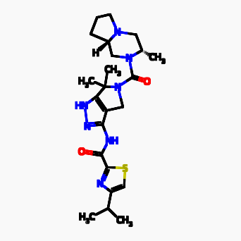 CC(C)c1csc(C(=O)Nc2n[nH]c3c2CN(C(=O)N2C[C@@H]4CCCN4C[C@@H]2C)C3(C)C)n1